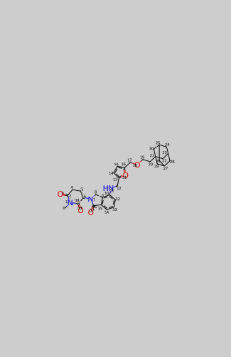 CN1C(=O)CCC(N2Cc3c(NCc4ccc(COCCC56CC7CC(CC(C7)C5)C6)o4)cccc3C2=O)C1=O